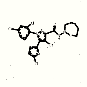 CCc1c(C(=O)NN2CCCCCC2)nn(-c2ccc(Cl)cc2Cl)c1-c1ccc(Cl)s1